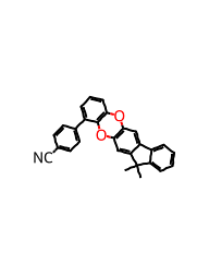 CC1(C)c2ccccc2-c2cc3c(cc21)Oc1c(cccc1-c1ccc(C#N)cc1)O3